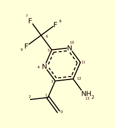 C=C(C)c1nc(C(F)(F)F)ncc1N